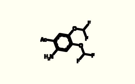 CC(=O)c1cc(OC(F)F)c(OC(F)F)cc1N